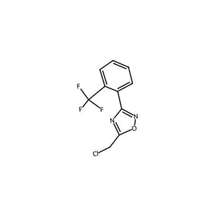 FC(F)(F)c1ccccc1-c1noc(CCl)n1